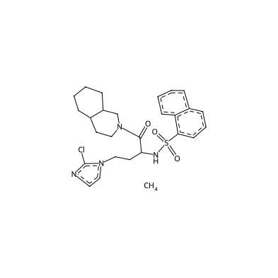 C.O=C(C(CCn1ccnc1Cl)NS(=O)(=O)c1cccc2ccccc12)N1CCC2CCCCC2C1